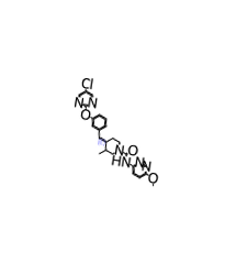 COc1ccc(NC(=O)N2CC/C(=C\c3cccc(Oc4ncc(Cl)cn4)c3)C(C)C2)nn1